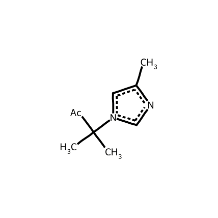 CC(=O)C(C)(C)n1cnc(C)c1